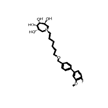 COc1cc(-c2ccc(COCCCCCCN3C[C@H](O)[C@@H](O)[C@H](O)[C@@H](O)C3)cc2)ccc1F